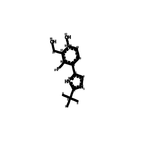 CC(C)(C)c1ncc(-c2cc[n+](O)c(CO)c2F)[nH]1